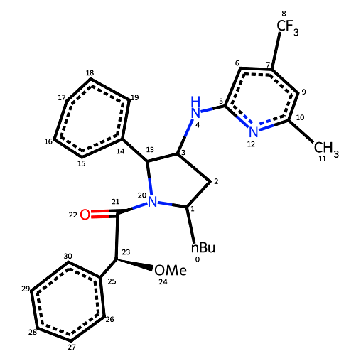 CCCCC1CC(Nc2cc(C(F)(F)F)cc(C)n2)C(c2ccccc2)N1C(=O)[C@@H](OC)c1ccccc1